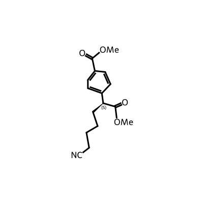 COC(=O)c1ccc([C@H](CCCCC#N)C(=O)OC)cc1